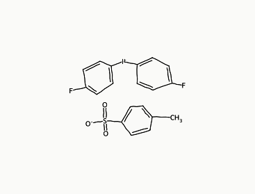 Cc1ccc(S(=O)(=O)[O-])cc1.Fc1ccc([I+]c2ccc(F)cc2)cc1